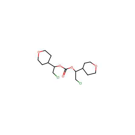 O=C(OC(CCl)C1CCOCC1)OC(CCl)C1CCOCC1